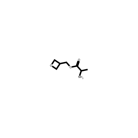 CC(N)C(=O)OCC1COC1